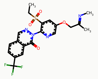 CCS(=O)(=O)c1cc(OCC(C)=NC)cnc1-n1ncc2ccc(C(F)(F)F)cc2c1=O